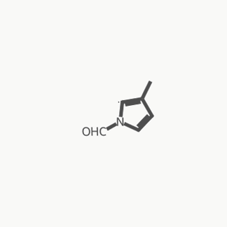 Cc1[c]n(C=O)cc1